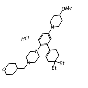 CCC1(CC)CC=C(c2cc(N3CCC(OC)CC3)ccc2N2CCN(CC3CCOCC3)CC2)CC1.Cl